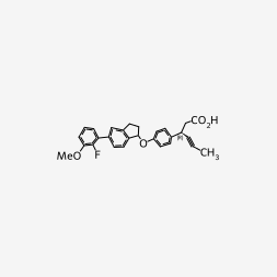 CC#C[C@H](CC(=O)O)c1ccc(OC2CCc3cc(-c4cccc(OC)c4F)ccc32)cc1